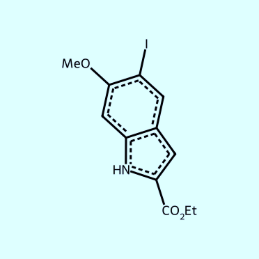 CCOC(=O)c1cc2cc(I)c(OC)cc2[nH]1